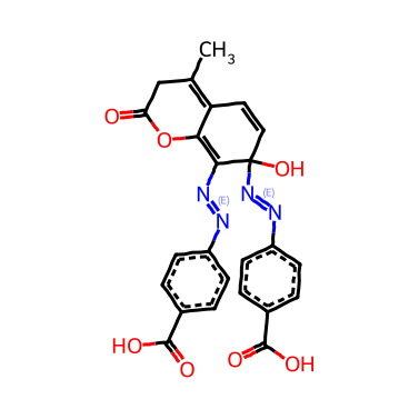 CC1=C2C=CC(O)(/N=N/c3ccc(C(=O)O)cc3)C(/N=N/c3ccc(C(=O)O)cc3)=C2OC(=O)C1